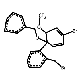 FC(F)(F)OC1C=C(Br)C=CC1(OCc1ccccc1)c1ccccc1CBr